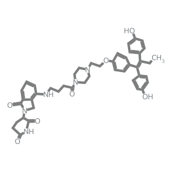 CCC(=C(c1ccc(O)cc1)c1ccc(OCCN2CCN(C(=O)CCCNc3cccc4c3CN(C3CCC(=O)NC3=O)C4=O)CC2)cc1)c1ccc(O)cc1